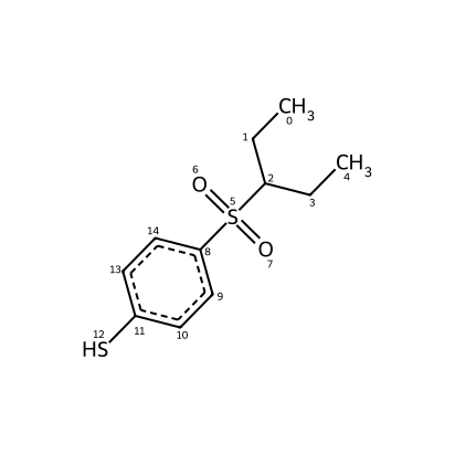 CCC(CC)S(=O)(=O)c1ccc(S)cc1